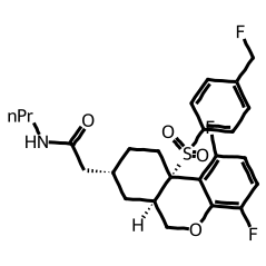 CCCNC(=O)C[C@@H]1CC[C@@]2(S(=O)(=O)c3ccc(CF)cc3)c3c(F)ccc(F)c3OC[C@H]2C1